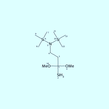 COC([SiH3])(CCN([Si](C)(C)C)[Si](C)(C)C)OC